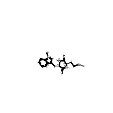 CCCCCCCCCCCC[C@H]1NC(=O)[C@@H](Cc2cn(C)c3ccccc23)NC1=O